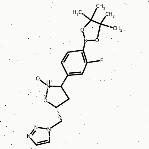 CC1(C)OB(c2ccc(C3C[C@H](Cn4ccnn4)O[NH+]3[O-])cc2F)OC1(C)C